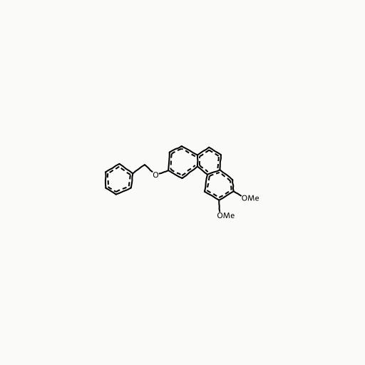 COc1cc2ccc3ccc(OCc4ccccc4)cc3c2cc1OC